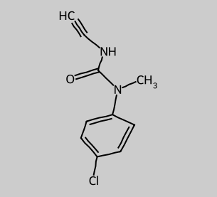 C#CNC(=O)N(C)c1ccc(Cl)cc1